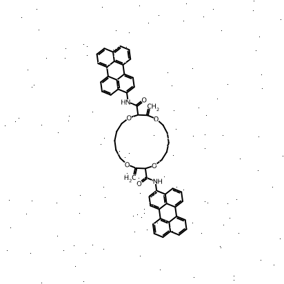 C=C1OCCCCCOC(C(=O)Nc2ccc3c4cccc5cccc(c6cccc2c63)c54)C(=C)OCCCCCOC1C(=O)Nc1ccc2c3cccc4cccc(c5cccc1c52)c43